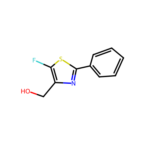 OCc1nc(-c2ccccc2)sc1F